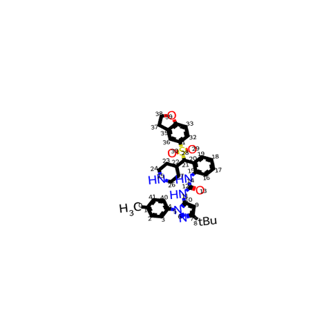 Cc1ccc(-n2nc(C(C)(C)C)cc2NC(=O)Nc2ccccc2C(C2CCNCC2)S(=O)(=O)c2ccc3c(c2)CCO3)cc1